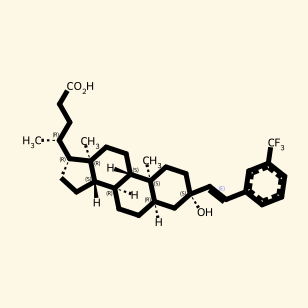 C[C@H](CCC(=O)O)[C@H]1CC[C@H]2[C@@H]3CC[C@@H]4C[C@](O)(/C=C/c5cccc(C(F)(F)F)c5)CC[C@]4(C)[C@H]3CC[C@]12C